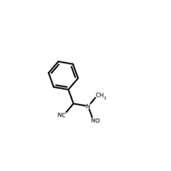 CN(N=O)C(C#N)c1ccccc1